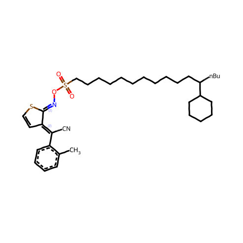 CCCCC(CCCCCCCCCCCS(=O)(=O)O/N=C1\SC=C\C1=C(\C#N)c1ccccc1C)C1CCCCC1